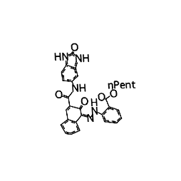 CCCCCOC(=O)c1ccccc1N/N=C1\C(=O)C(C(=O)Nc2ccc3[nH]c(=O)[nH]c3c2)=Cc2ccccc21